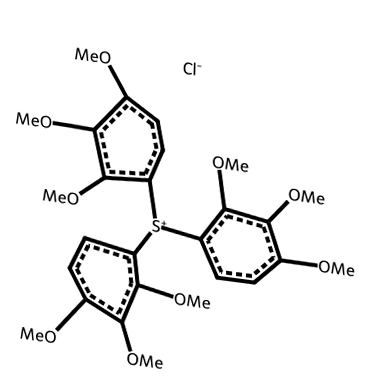 COc1ccc([S+](c2ccc(OC)c(OC)c2OC)c2ccc(OC)c(OC)c2OC)c(OC)c1OC.[Cl-]